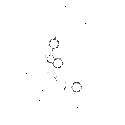 CC(C)(CNC(=O)c1ccccc1)Nc1cccc2c1cnn2-c1ccc(F)cc1